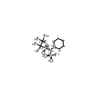 O=S(=O)(F)N(N1CCCCC1)S(=O)(=O)C(F)(F)C(F)(F)F